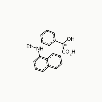 CCNc1cccc2ccccc12.O=C(O)[C@H](O)c1ccccc1